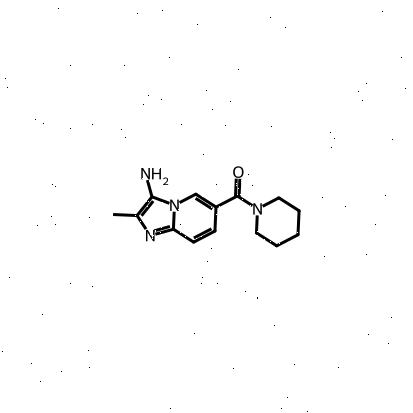 Cc1nc2ccc(C(=O)N3CCCCC3)cn2c1N